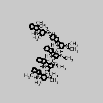 CCN(CC)c1cc(C)c2[nH]c3c(c2c1)Cc1ccccc1-3.CCNc1cc(C)c2[nH]c3c(c2c1)Cc1ccccc1-3.COc1cc(C(C)C)c2[nH]c3c(c2c1)Cc1ccccc1-3.COc1cc(C)c2[nH]c3c(c2c1)C(C)(C)c1ccccc1-3.COc1cc(C)c2[nH]c3c(c2c1)Cc1cccc(C)c1-3